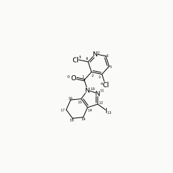 O=C(c1c(Cl)ccnc1Cl)n1nc(I)c2c1CCCC2